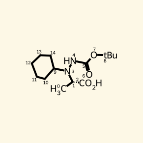 C[C@@H](C(=O)O)N(NC(=O)OC(C)(C)C)C1CCCCC1